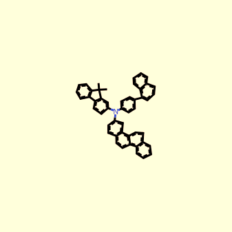 CC1(C)c2ccccc2-c2ccc(N(c3ccc(-c4cccc5ccccc45)cc3)c3ccc4ccc5c6ccccc6ccc5c4c3)cc21